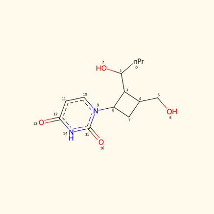 CCCC(O)C1C(CO)CC1n1ccc(=O)[nH]c1=O